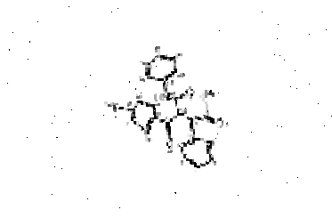 CC(C)C(=O)C(c1ccccc1)C(C(=O)Nc1ccccc1)C(=O)c1ccc(F)cc1